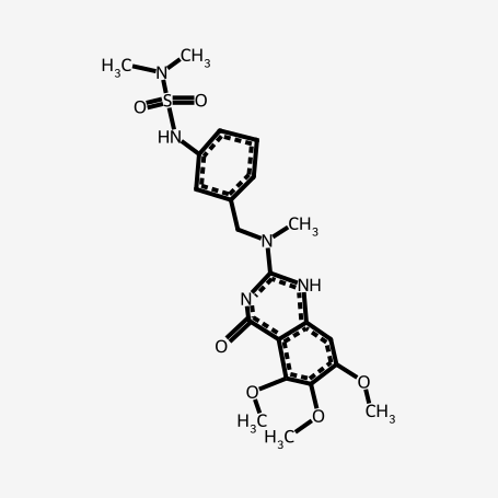 COc1cc2[nH]c(N(C)Cc3cccc(NS(=O)(=O)N(C)C)c3)nc(=O)c2c(OC)c1OC